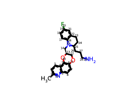 Cc1ccc2c3c(ccc2n1)OC[C@H](CN1c2ccc(F)cc2CCC1CCCN)O3